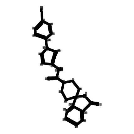 O=C1OC2(CCC(C(=O)Nc3ccn(-c4ccc(F)cc4)n3)CC2)c2ncccc21